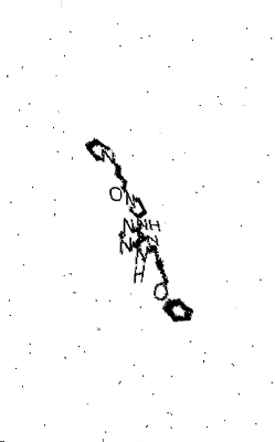 O=C(C=CCN1CCCC1)N1CCC(Nc2ncnc3[nH]c(C#CCOc4ccccc4)nc23)C1